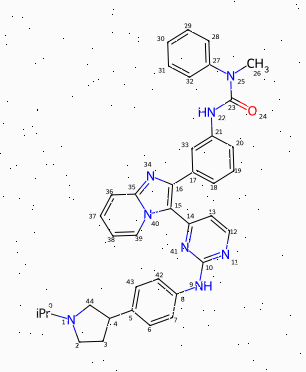 CC(C)N1CCC(c2ccc(Nc3nccc(-c4c(-c5cccc(NC(=O)N(C)c6ccccc6)c5)nc5ccccn45)n3)cc2)C1